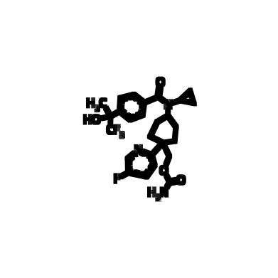 CC(O)(c1ccc(C(=O)N(C2CC2)C2CCC(COC(N)=O)(c3ccc(F)cn3)CC2)cc1)C(F)(F)F